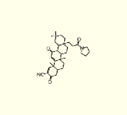 CC1(C)CCC2(CCC(=O)N3CCCC3)CCC3C(C(=O)C=C4C5(C)C=C(C#N)C(=O)CC5CCC43C)C2C1